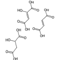 O=C(O)C=C(O)C(=O)O.O=C(O)C=CC(=O)O.O=C(O)CC(O)C(=O)O